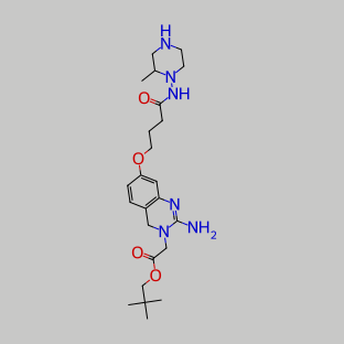 CC1CNCCN1NC(=O)CCCOc1ccc2c(c1)N=C(N)N(CC(=O)OCC(C)(C)C)C2